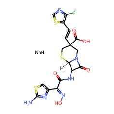 Nc1nc(C(=NO)C(=O)NC2C(=O)N3CC(C=Cc4scnc4Cl)(C(=O)O)CS[C@H]23)cs1.[NaH]